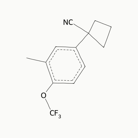 Cc1cc(C2(C#N)CCC2)ccc1OC(F)(F)F